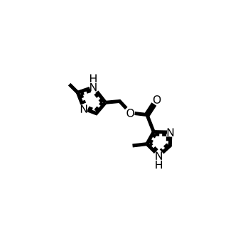 Cc1ncc(COC(=O)c2nc[nH]c2C)[nH]1